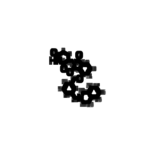 O=C1CCC(N2C(=O)c3cccc(OCc4cccc(CN5CCc6ccccc6C5)c4)c3C2=O)C(=O)N1